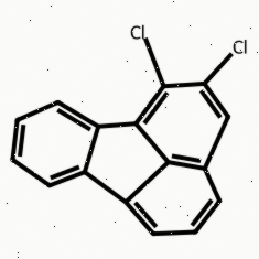 Clc1cc2cccc3c2c(c1Cl)-c1ccccc1-3